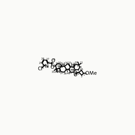 COC1CC(C(=O)[C@]23CCC(C)(C)C[C@H]2C2=CC[C@@H]4[C@@]5(C)CCC(OC(=O)c6cccc(Cl)n6)C(C)(C)[C@@H]5CC[C@@]4(C)[C@]2(C)CC3)C1